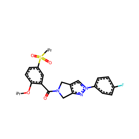 CC(C)Oc1ccc(S(=O)(=O)C(C)C)cc1C(=O)N1Cc2cn(-c3ccc(F)cc3)nc2C1